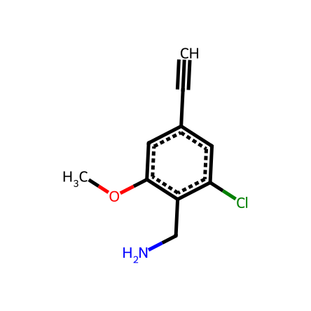 C#Cc1cc(Cl)c(CN)c(OC)c1